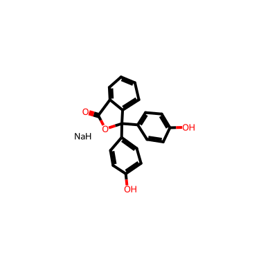 O=C1OC(c2ccc(O)cc2)(c2ccc(O)cc2)c2ccccc21.[NaH]